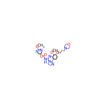 COc1ncc(OC(=O)NC2=Nc3c(ccc(OCCCN4CCOCC4)c3OC)C3=NCCN23)cn1